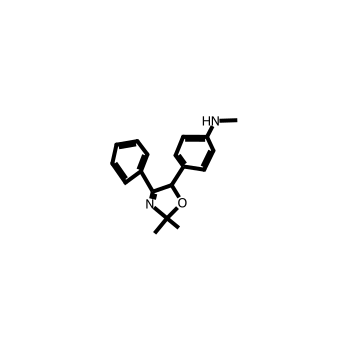 CNc1ccc(C2OC(C)(C)N=C2c2ccccc2)cc1